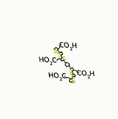 O=C(O)CCc1ccsc1-c1ccc(-c2sc(-c3ccc(-c4cc(CCC(=O)O)c(-c5ccc(-c6sccc6CCC(=O)O)s5)s4)cc3)cc2CCC(=O)O)s1